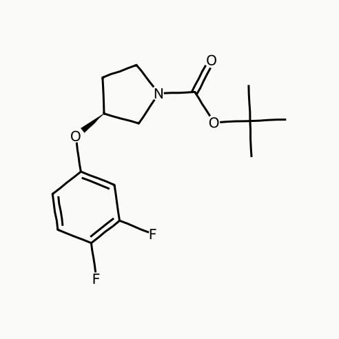 CC(C)(C)OC(=O)N1CC[C@H](Oc2ccc(F)c(F)c2)C1